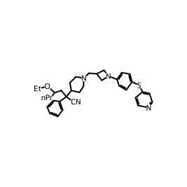 CCCC(CC(C#N)(c1ccccc1)C1CCN(CC2CN(c3ccc(Sc4ccncc4)cc3)C2)CC1)OCC